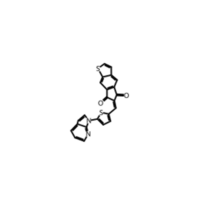 O=C1/C(=C/c2ccc(-n3ccc4cccnc43)s2)C(=O)c2cc3sccc3cc21